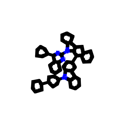 c1ccc(-c2ccc(-n3c4ccccc4c4cc(-c5c6ccccc6cc6c7ccccc7n(-c7nc(-c8ccccc8)c8ccccc8n7)c56)ccc43)cc2)cc1